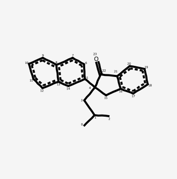 CC(C)CC1(c2ccc3ccccc3c2)Cc2ccccc2C1=O